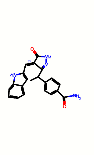 CC(C1=NNC(=O)/C1=C/c1cc2ccccc2[nH]1)c1ccc(C(N)=O)cc1